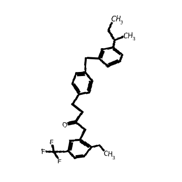 CCc1ccc(C(F)(F)F)cc1CC(=O)CCc1ccc(Cc2cccc(C(C)CC)c2)cc1